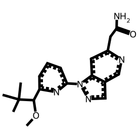 COC(c1cccc(-n2ncc3cnc(CC(N)=O)cc32)n1)C(C)(C)C